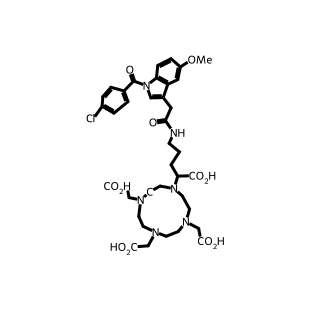 COc1ccc2c(c1)c(CC(=O)NCCCC(C(=O)O)N1CCN(CC(=O)O)CCN(CC(=O)O)CCN(CC(=O)O)CC1)cn2C(=O)c1ccc(Cl)cc1